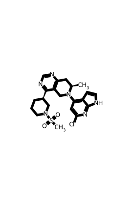 C[C@@H]1Cc2ncnc([C@@H]3CCCN(S(C)(=O)=O)C3)c2CN1c1cc(Cl)nc2[nH]ccc12